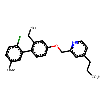 COc1ccc(F)c(-c2ccc(OCc3cc(CCC(=O)O)ccn3)cc2CC(C)(C)C)c1